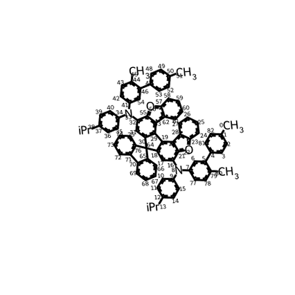 Cc1ccc(-c2cc(N(c3ccc(C(C)C)cc3)c3cc4c(c5c3oc3ccccc35)-c3c(cc(N(c5ccc(C(C)C)cc5)c5ccc(C)c(-c6ccc(C)cc6)c5)c5oc6ccccc6c35)C43c4ccccc4-c4ccccc43)ccc2C)cc1